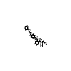 N#CCNC(=O)C1CCCCC1CS(=O)(=O)c1ccc(SCCOc2cccnc2)cc1